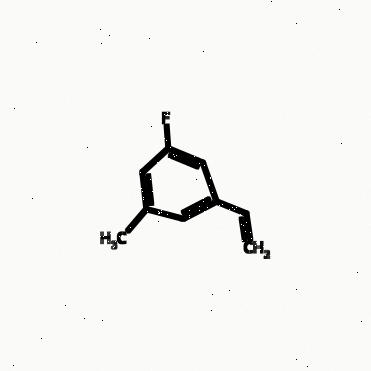 C=Cc1cc(C)cc(F)c1